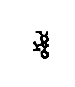 CNC(=O)c1c(-c2ccccc2)oc2cc(C)c(OC)cc12